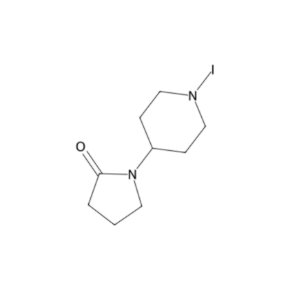 O=C1CCCN1C1CCN(I)CC1